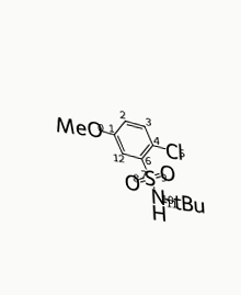 COc1ccc(Cl)c(S(=O)(=O)NC(C)(C)C)c1